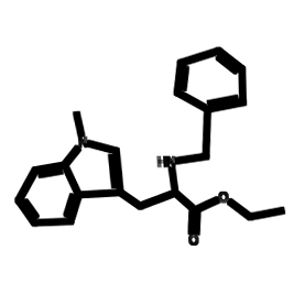 CCOC(=O)C(Cc1cn(C)c2ccccc12)NCc1ccccc1